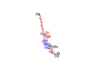 C#CCOCCOCCOCCOCCC(=O)N(CCCNC(=O)c1ncn(-c2ncc(OC)c3c(C(=O)C(=O)N4CCC(=C(C#N)c5ccccc5)CC4)c[nH]c23)n1)C(CO)(CO)CO